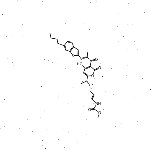 CCCCc1ccc2cc(/C=C(\C)C(=O)c3c(O)cc(C(C)CC/C=C/NC(=O)OC)oc3=O)sc2c1